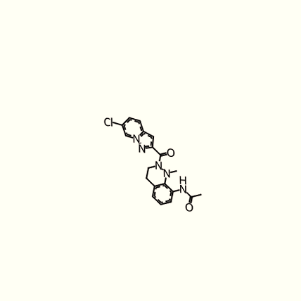 CC(=O)Nc1cccc2c1N(C)N(C(=O)c1cc3ccc(Cl)cn3n1)CC2